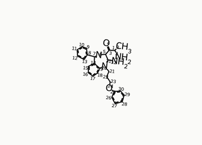 CC(N)C(=O)C1N=C(c2ccccc2)c2ccccc2N(CCCOc2ccccc2)C1N